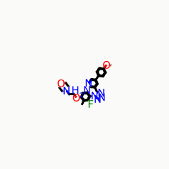 COc1ccc(-c2cnc(N)c(-c3nnnn3-c3ccc(OCCN4CCOCC4)c(C)c3F)c2)cc1